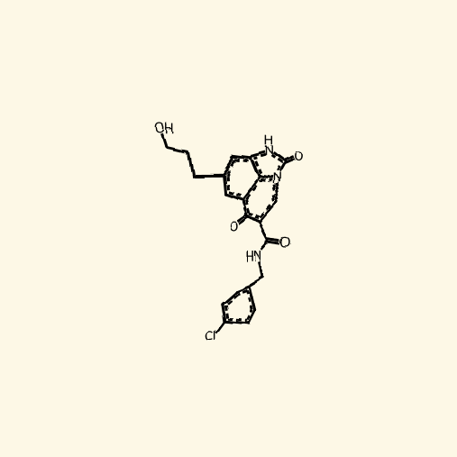 O=C(NCc1ccc(Cl)cc1)c1cn2c(=O)[nH]c3cc(CCCO)cc(c1=O)c32